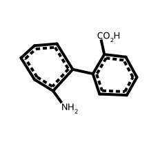 Nc1ccccc1-c1ccccc1C(=O)O